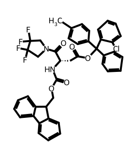 Cc1ccc(C(OC(=O)C[C@H](NC(=O)OCC2c3ccccc3-c3ccccc32)C(=O)N2CC(F)(F)C(F)(F)C2)(c2ccccc2)c2ccccc2Cl)cc1